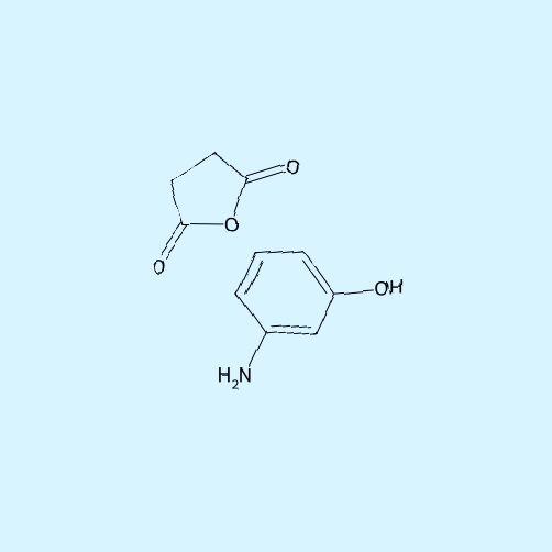 Nc1cccc(O)c1.O=C1CCC(=O)O1